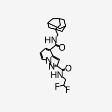 O=C(NCC(F)F)c1cc2c(C(=O)NCC34CC5CC(CC(C5)C3)C4)cccn2n1